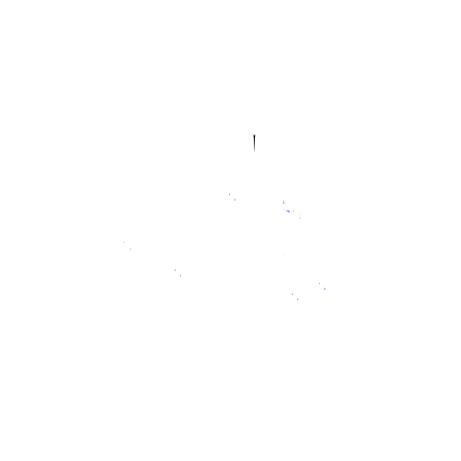 C[C@H]1C[C@@H](NC(=O)Cn2cccn2)CN(c2ccc(C#N)c3ncccc23)C1